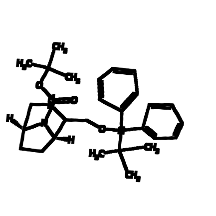 CC(C)(C)OC(=O)N1[C@H]2CC[C@@H]1C(CO[Si](c1ccccc1)(c1ccccc1)C(C)(C)C)NC2